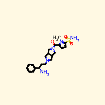 Cn1c(C(=O)N2CC3CN(CC[C@H](N)c4ccccc4)CC3C2)ccc1S(N)(=O)=O